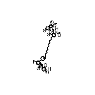 CCOc1cc([C@@H](CS(C)(=O)=O)N2C(=O)c3c(CCCCCCCCCCCCN4CCC(c5cc(F)cc6c5CN([C@H]5CCC(=O)NC5=O)C6=O)CC4)ccc(NC(C)=O)c3C2=O)ccc1OC